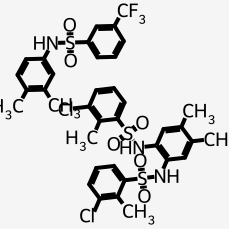 Cc1cc(NS(=O)(=O)c2cccc(Cl)c2C)c(NS(=O)(=O)c2cccc(Cl)c2C)cc1C.Cc1ccc(NS(=O)(=O)c2cccc(C(F)(F)F)c2)cc1C